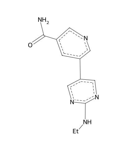 CCNc1ncc(-c2cncc(C(N)=O)c2)cn1